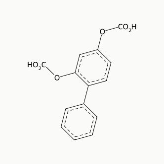 O=C(O)Oc1ccc(-c2ccccc2)c(OC(=O)O)c1